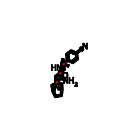 CC(C)NC(=O)CN1CC2CCC(C1)N2CC(N)CCOc1ccc(C#N)cc1